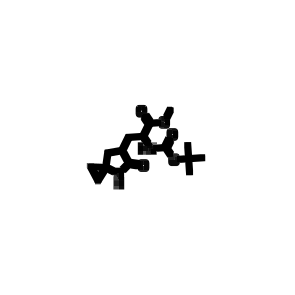 COC(=O)C(CC1CC2(CC2)NC1=O)NC(=O)OC(C)(C)C